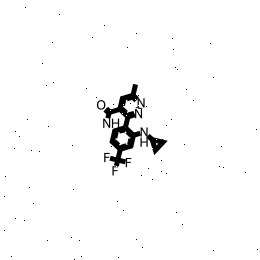 Cc1cc(C(N)=O)c(-c2ccc(C(F)(F)F)cc2NC2CC2)nn1